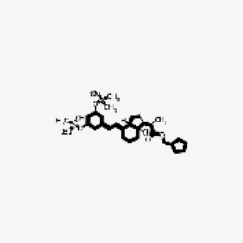 C[C@H](C(=O)OCC1CCCC1)[C@H]1CC[C@H]2/C(=C/C=C3C[C@@H](O[Si](C)(C)C(C)(C)C)C[C@H](O[Si](C)(C)C(C)(C)C)C3)CCC[C@]12C